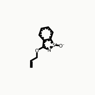 C=CCOc1n[s+]([O-])c2ccccc12